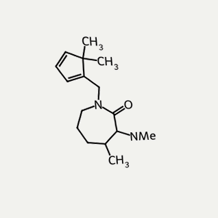 CNC1C(=O)N(CC2=CC=CC2(C)C)CCCC1C